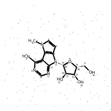 Cn1ccc2c1c1c(N)ncnc1n2[C@@H]1O[C@H](CO)[C@@H](O)[C@H]1O